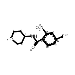 O=C(NC1CCOCC1)c1ccc(F)cc1[N+](=O)[O-]